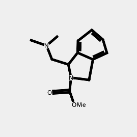 COC(=O)N1Cc2ccccc2C1CN(C)C